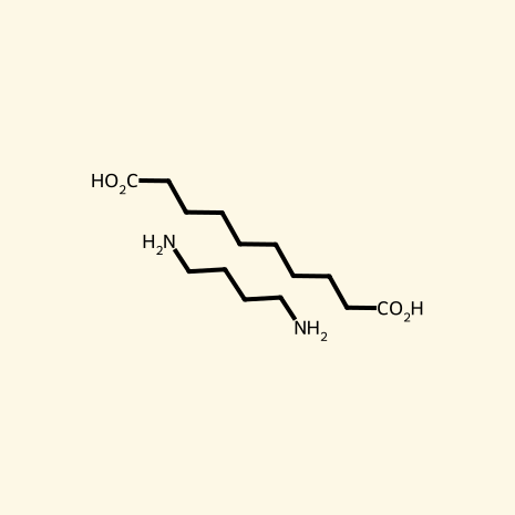 NCCCCN.O=C(O)CCCCCCCCC(=O)O